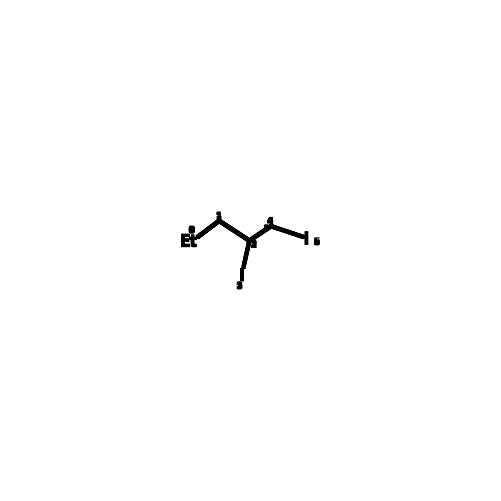 CCCC(I)[CH]I